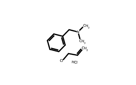 C=CCCl.CN(C)Cc1ccccc1.Cl